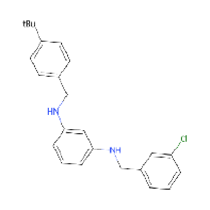 CC(C)(C)c1ccc(CNc2cccc(NCc3cccc(Cl)c3)c2)cc1